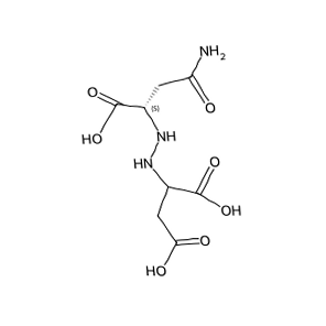 NC(=O)C[C@H](NNC(CC(=O)O)C(=O)O)C(=O)O